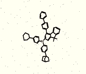 CC1(C)c2ccccc2-c2c(-c3ccc(-c4ccccc4)cc3)cc(N(c3ccc(C4CCCCC4)cc3)c3ccc(C45CCC(CC4)C5)cc3)cc21